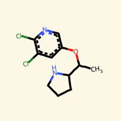 CC(Oc1cnc(Cl)c(Cl)c1)C1CCCN1